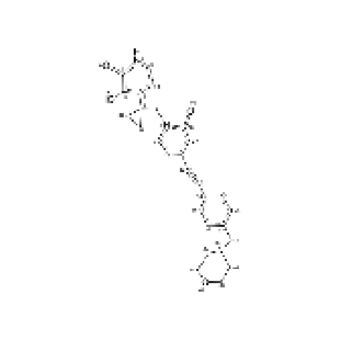 O=c1[nH]cnc(C2(Cn3ccc(C#Cc4ccc(CN5CCOCC5)cc4)cc3=O)CC2)c1O